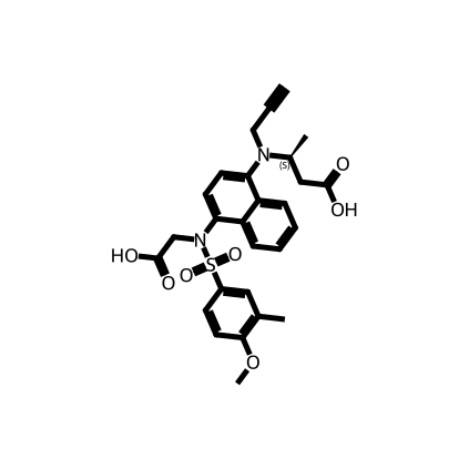 C#CCN(c1ccc(N(CC(=O)O)S(=O)(=O)c2ccc(OC)c(C)c2)c2ccccc12)[C@@H](C)CC(=O)O